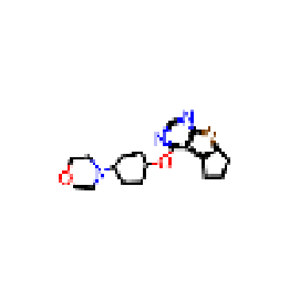 c1nc(OC2CCC(N3CCOCC3)CC2)c2c3c(sc2n1)CCC3